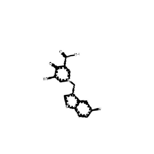 O=C(O)c1cn(Cc2csc3ccc(Cl)cc23)cc(O)c1=O